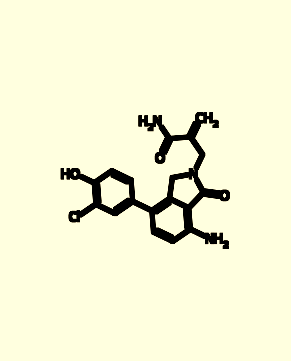 C=C(CN1Cc2c(-c3ccc(O)c(Cl)c3)ccc(N)c2C1=O)C(N)=O